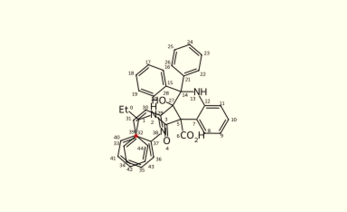 CCC(NC(=O)C1(C(=O)O)c2ccccc2NC(c2ccccc2)(c2ccccc2)C1(O)c1ccc2ccccc2n1)c1ccccc1